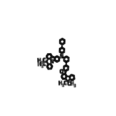 CC1(C)c2ccccc2-c2c1ccc1oc3cc(-c4cccc(N(c5ccc(-c6ccccc6)cc5)c5ccc6c(c5)c5cccc7c5n6-c5ccccc5C7(C)C)c4)ccc3c21